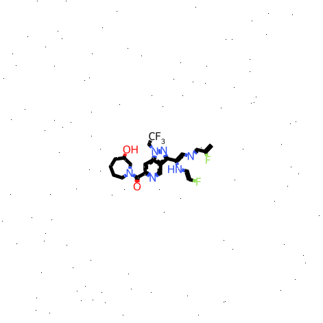 C=C(F)/C=N/C=C(\N/C=C/F)c1nn(CC(F)(F)F)c2cc(C(=O)N3CCCCC(O)C3)ncc12